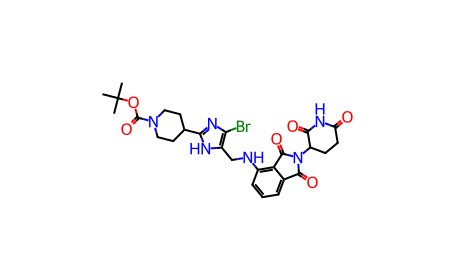 CC(C)(C)OC(=O)N1CCC(c2nc(Br)c(CNc3cccc4c3C(=O)N(C3CCC(=O)NC3=O)C4=O)[nH]2)CC1